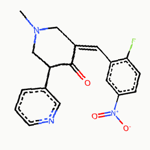 CN1CC(=Cc2cc([N+](=O)[O-])ccc2F)C(=O)C(c2cccnc2)C1